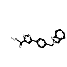 NC(=O)c1cc(-c2ccc(Cn3cc4ccccc4n3)cc2)no1